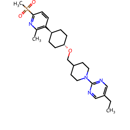 CCc1cnc(N2CCC(CO[C@H]3CC[C@H](c4ccc(S(C)(=O)=O)nc4C)CC3)CC2)nc1